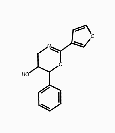 OC1CN=C(c2ccoc2)OC1c1ccccc1